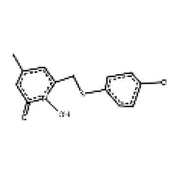 Cc1cc(CSc2ccc(Cl)cc2)n(O)c(=O)c1